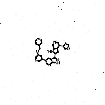 c1ccc(COc2cncc(-c3cnc4[nH]nc(-c5cc6c(-c7ccoc7)cncc6[nH]5)c4c3)c2)cc1